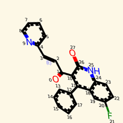 O=C(/C=C/c1ccccn1)c1c(-c2ccccc2)c2cc(F)ccc2[nH]c1=O